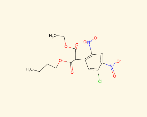 CCCCOC(=O)C(C(=O)OCC)c1cc(Cl)c([N+](=O)[O-])cc1[N+](=O)[O-]